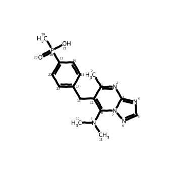 Cc1nc2ncnn2c(N(C)C)c1Cc1ccc(P(C)(=O)O)cc1